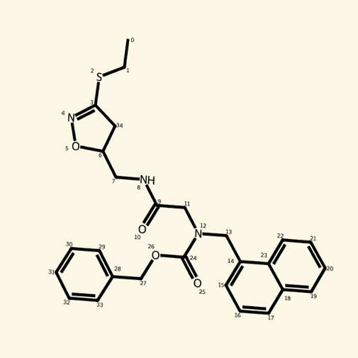 CCSC1=NOC(CNC(=O)CN(Cc2cccc3ccccc23)C(=O)OCc2ccccc2)C1